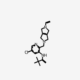 C=CN1CC2=C(C1)CN(Cc1ncc(Cl)cc1NC(=C)C(C)(C)C)C2